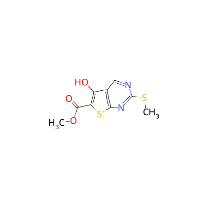 COC(=O)c1sc2nc(SC)ncc2c1O